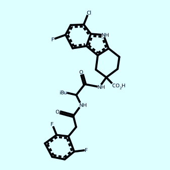 CCC(C)C(NC(=O)Cc1c(F)cccc1F)C(=O)NC1(C(=O)O)CCc2[nH]c3c(Cl)cc(F)cc3c2C1